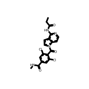 CCC(=O)Nc1nccc2c1ccn2C(=O)c1c(Cl)cc(C(=O)NC)cc1Cl